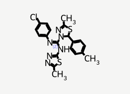 CC1=NN(/C(=N\c2ccc(Cl)cc2)Nc2nnc(C)s2)C(c2ccc(C)cc2)S1